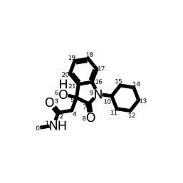 CNC(=O)CC1(O)C(=O)N(C2CCCCC2)c2ccccc21